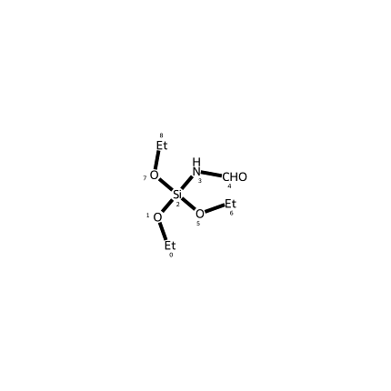 CCO[Si](NC=O)(OCC)OCC